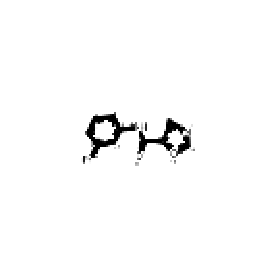 CC(C)c1cccc(NC(=O)c2cnco2)c1